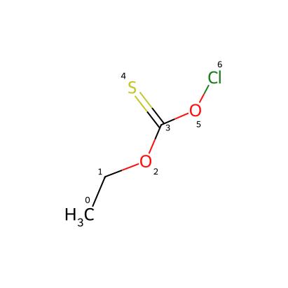 CCOC(=S)OCl